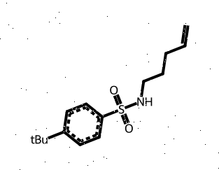 C=CCCCNS(=O)(=O)c1ccc(C(C)(C)C)cc1